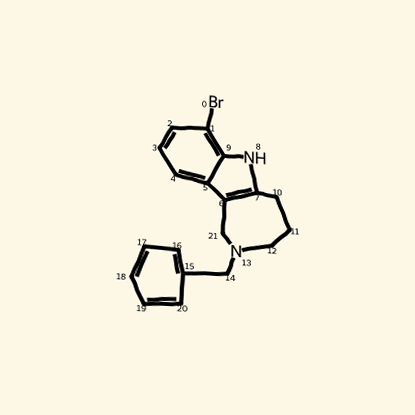 Brc1cccc2c3c([nH]c12)CCCN(Cc1ccccc1)C3